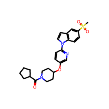 CS(=O)(=O)c1ccc2c(ccn2-c2ccc(OC3CCN(C(=O)C4CCCC4)CC3)cn2)c1